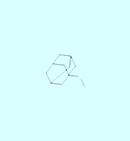 [CH2]PC12CC3CC(CC(C3)C1)C2